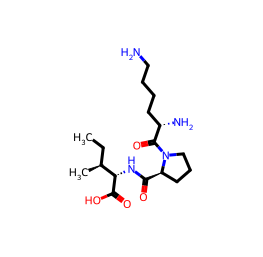 CC[C@H](C)[C@H](NC(=O)[C@@H]1CCCN1C(=O)[C@@H](N)CCCCN)C(=O)O